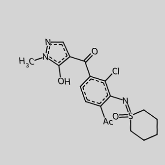 CC(=O)c1ccc(C(=O)c2cnn(C)c2O)c(Cl)c1N=S1(=O)CCCCC1